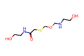 O=C(CSCOCNCCO)NCCO